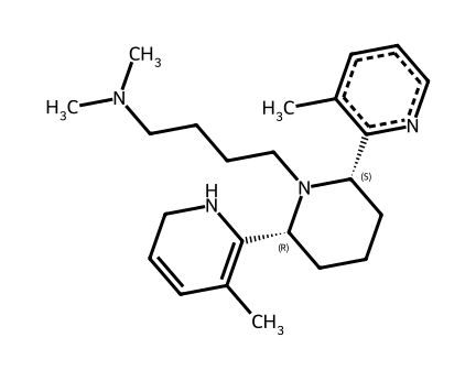 CC1=C([C@H]2CCC[C@@H](c3ncccc3C)N2CCCCN(C)C)NCC=C1